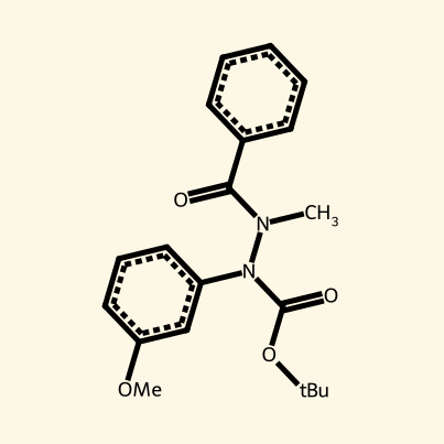 COc1cccc(N(C(=O)OC(C)(C)C)N(C)C(=O)c2ccccc2)c1